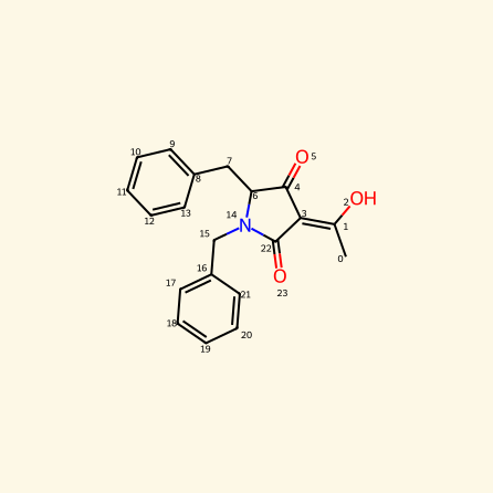 CC(O)=C1C(=O)C(Cc2ccccc2)N(Cc2ccccc2)C1=O